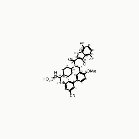 COc1ccc(-c2cccc(C#N)c2)cc1CN(C(=O)c1sc2c(F)ccc(F)c2c1Cl)C1CCC(C(NC(=O)O)C(C)(C)C)CC1